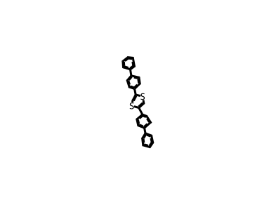 C1=C(c2ccc(-c3ccccc3)cc2)SC=C(c2ccc(-c3ccccc3)cc2)S1